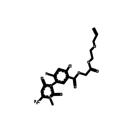 C=CCOCCOC(=O)COC(=O)c1cc(-n2c(=O)cc(C(F)(F)F)n(C)c2=O)c(F)cc1Cl